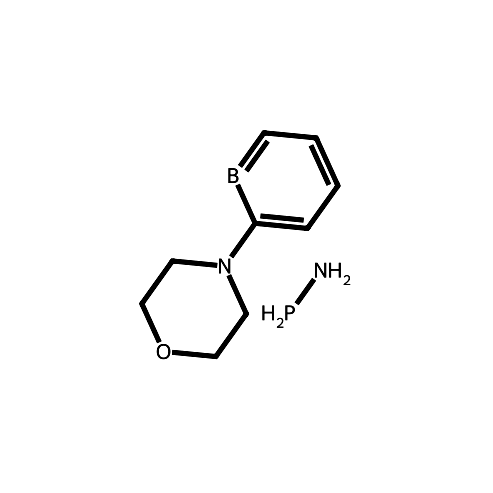 NP.b1ccccc1N1CCOCC1